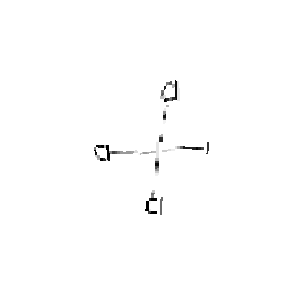 Cl[I](Cl)(Cl)I